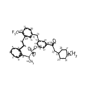 CC(c1ccccc1CCc1cc(Cc2cccc(C(=O)CC3CCN(C)CC3)c2)ccc1C(F)(F)F)S(C)(=O)=O